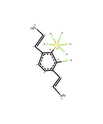 CCC/C=C/c1ccc(/C=C/CCC)c(S(F)(F)(F)(F)F)c1F